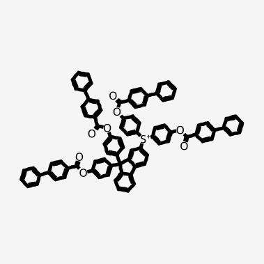 O=C(Oc1ccc([S+](c2ccc(OC(=O)c3ccc(-c4ccccc4)cc3)cc2)c2ccc3c(c2)C(c2ccc(OC(=O)c4ccc(-c5ccccc5)cc4)cc2)(c2ccc(OC(=O)c4ccc(-c5ccccc5)cc4)cc2)c2ccccc2-3)cc1)c1ccc(-c2ccccc2)cc1